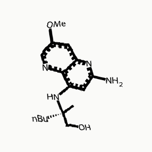 CCCC[C@](C)(CO)Nc1cc(N)nc2cc(OC)cnc12